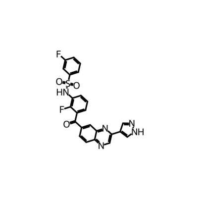 O=C(c1ccc2ncc(-c3cn[nH]c3)nc2c1)c1cccc(NS(=O)(=O)c2cccc(F)c2)c1F